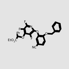 CCOC(=O)C(Oc1c(F)c(F)nc(Oc2cc(C#N)ccc2OCc2ccccc2)c1F)C(C)C